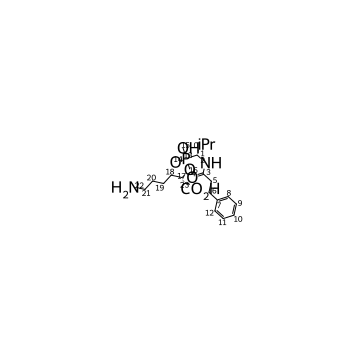 CC(C)[C@H](NC(=O)CCc1ccccc1)P(=O)(O)O[C@@H](CCCCN)C(=O)O